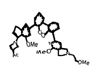 COCCN1CCc2c(cc(-c3cccc(-c4cccc(-c5cc6c(c(OC)c5)C(N5CC(C(C)=O)C5)CC6)c4Cl)c3Cl)nc2OC)C1